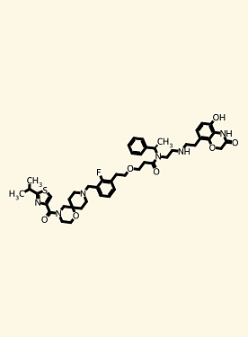 CC(C)c1nc(C(=O)N2CCOC3(CCN(Cc4cccc(CCOCCC(=O)N(CCNCCc5ccc(O)c6c5OCC(=O)N6)[C@H](C)c5ccccc5)c4F)CC3)C2)cs1